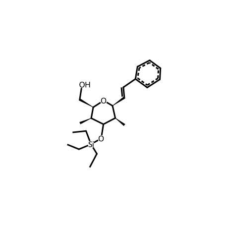 CC[Si](CC)(CC)OC1[C@@H](C)[C@@H](CO)O[C@@H](/C=C/c2ccccc2)[C@H]1C